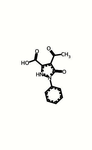 CC(=O)c1c(C(=O)O)[nH]n(-c2ccccc2)c1=O